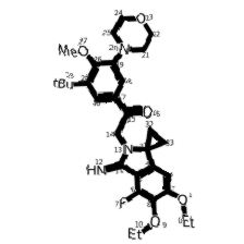 CCOc1cc2c(c(F)c1OCC)C(=N)N(CC(=O)c1cc(N3CCOCC3)c(OC)c(C(C)(C)C)c1)C21CC1